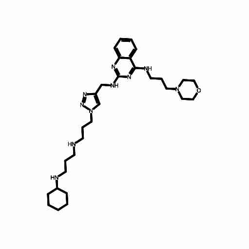 c1ccc2c(NCCCN3CCOCC3)nc(NCc3cn(CCCNCCCNC4CCCCC4)nn3)nc2c1